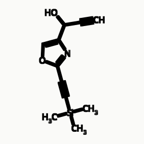 C#CC(O)c1coc(C#C[Si](C)(C)C)n1